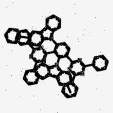 Cc1ccc2c(c1)c1ccccc1n2-c1c(-c2nc(-c3ccccc3)nc(-c3ccccc3)n2)ccc(-n2c3ccccc3c3cc(-c4ccccc4)ccc32)c1-c1nc(-c2ccccc2)nc(-c2ccccc2)n1